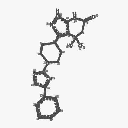 O=C1CC(O)(C(F)(F)F)c2c(C3CCN(c4nc(-c5ccccc5)cs4)CC3)n[nH]c2N1